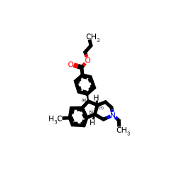 CCCOC(=O)c1ccc([C@@H]2c3cc(C)ccc3[C@H]3CN(CC)CC[C@@H]23)cc1